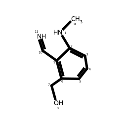 CNc1cccc(CO)c1C=N